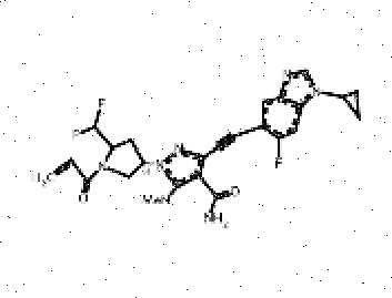 C=CC(=O)N1C[C@@H](n2nc(C#Cc3cc4ncn(C5CC5)c4cc3F)c(C(N)=O)c2NC)CC1C(F)F